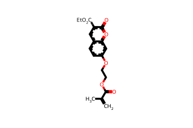 C=C(C)C(=O)OCCOc1ccc2cc(C(=O)OCC)c(=O)oc2c1